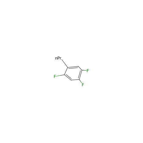 [CH2]CCc1cc(F)c(F)cc1F